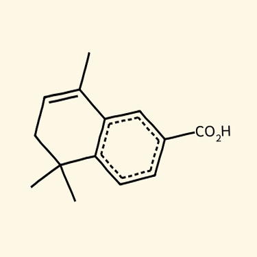 CC1=CCC(C)(C)c2ccc(C(=O)O)cc21